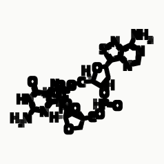 Nc1nc2c(ncn2[C@@H]2O[C@@]34CO[C@@H]2[C@@H]3OP(=O)(O)OC[C@H]2O[C@@H](c3snc5c(N)ncnc35)C[C@@H]2O[PH](=O)OC4)c(=O)[nH]1